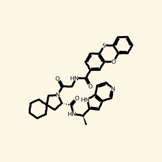 C[C@@H](NC(=O)[C@@H]1CC2(CCCCC2)CN1C(=O)CNC(=O)c1ccc2c(c1)Oc1ccccc1S2)c1cc2cnccc2[nH]1